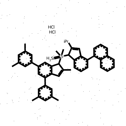 CC1=Cc2c(-c3cc(C)cc(C)c3)cc(-c3cc(C)cc(C)c3)cc2[CH]1[Zr]([CH3])([CH3])(=[SiH2])[CH]1C(C(C)C)=Cc2c(-c3cccc4ccccc34)cccc21.Cl.Cl